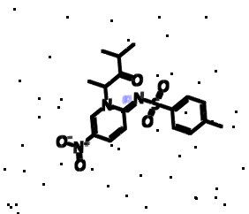 Cc1ccc(S(=O)(=O)/N=c2\ccc([N+](=O)[O-])cn2C(C)C(=O)C(C)C)cc1